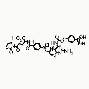 CN(Cc1cnc2nc(N)nc(NC(=O)OCc3ccc(B(O)O)cc3)c2n1)c1ccc(C(=O)NC(CCC(=O)N2CCSC2=O)C(=O)O)cc1